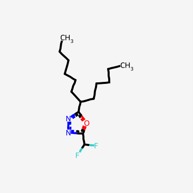 CCCCCCC(CCCCC)c1nnc(C(F)F)o1